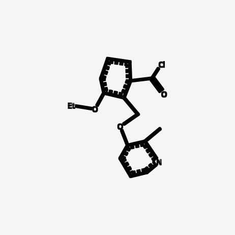 CCOc1cccc(C(=O)Cl)c1COc1cccnc1C